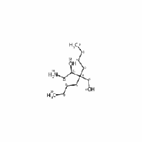 CCCCC(CO)(CCCC)C(O)CN